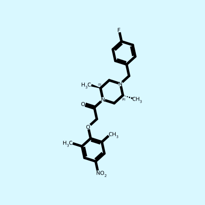 Cc1cc([N+](=O)[O-])cc(C)c1OCC(=O)N1C[C@@H](C)N(Cc2ccc(F)cc2)C[C@@H]1C